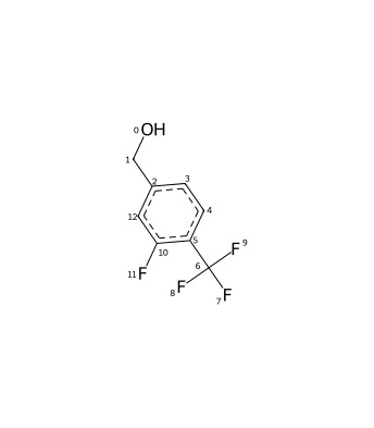 OCc1ccc(C(F)(F)F)c(F)c1